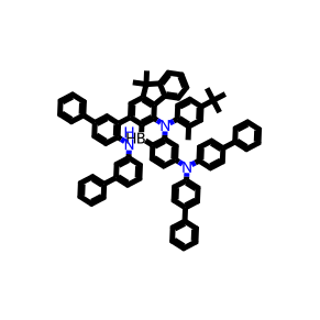 Cc1cc(C(C)(C)C)ccc1N1c2cc(N(c3ccc(-c4ccccc4)cc3)c3ccc(-c4ccccc4)cc3)ccc2Bc2c(-c3cc(-c4ccccc4)ccc3Nc3cccc(-c4ccccc4)c3)cc3c(c21)-c1ccccc1C3(C)C